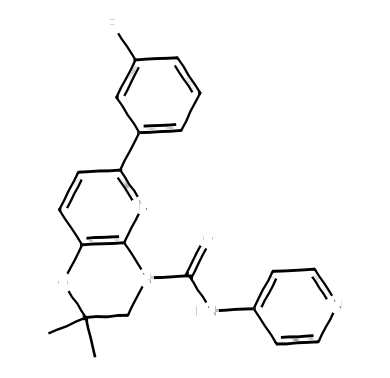 CC1(C)CN(C(=O)Nc2ccncc2)c2nc(-c3cccc(F)c3)ccc2O1